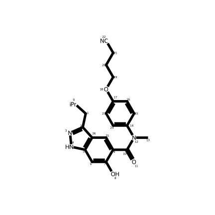 CC(C)Cc1n[nH]c2cc(O)c(C(=O)N(C)c3ccc(OCCCC#N)cc3)cc12